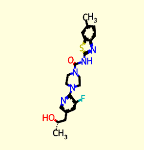 Cc1ccc2nc(NC(=O)N3CCN(c4ncc(C[C@H](C)O)cc4F)CC3)sc2c1